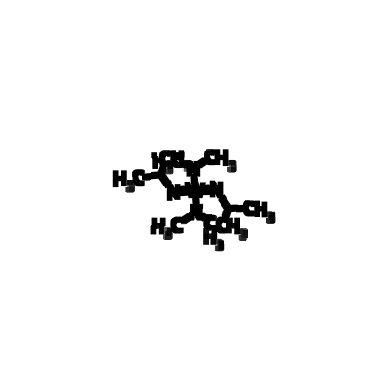 CC(C)[N]=[W](=[N]C(C)C)([N](C)C)[N](C)C